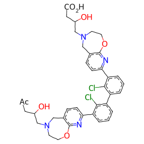 CC(=O)CC(O)CN1CCOc2nc(-c3cccc(-c4cccc(-c5ccc6c(n5)OCCN(CC(O)CC(=O)O)C6)c4Cl)c3Cl)ccc2C1